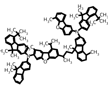 Cc1cc2c(cc1N(c1ccc3c(c1)C(C)(C)c1ccccc1-3)c1ccc3c(c1)C(C)(C)c1cccc(C(C)(C)C)c1-3)oc1cc(C(C)CCC3(C)C4=C(c5ccc(N(c6ccc7c(c6)C(C)(C)c6cccc(C(C)(C)C)c6-7)c6ccc7oc8c(C)cccc8c7c6)cc53)C(C)CC=C4)cc(C(C)C)c12